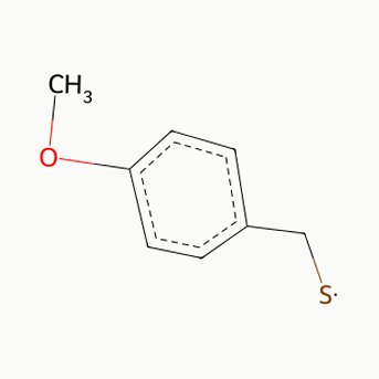 COc1ccc(C[S])cc1